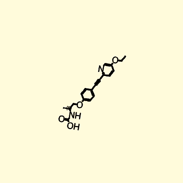 CCOc1ccc(C#Cc2ccc(OC[C@H](C)NC(=O)O)cc2)nc1